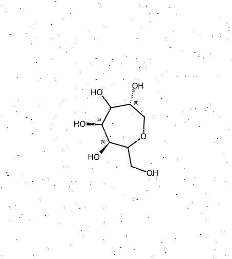 OCC1OC[C@@H](O)C(O)[C@H](O)[C@@H]1O